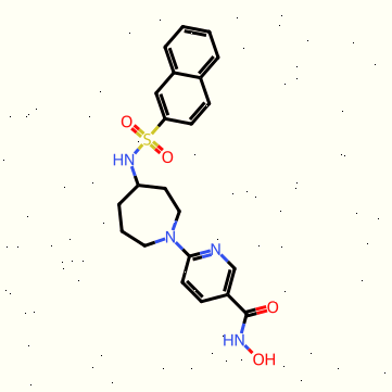 O=C(NO)c1ccc(N2CCCC(NS(=O)(=O)c3ccc4ccccc4c3)CC2)nc1